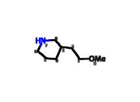 COCCC1CCCNC1